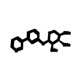 CC(=O)O[C@@H]1[C@@H](OC(C)=O)[C@@H](Oc2cccc(-c3cccnc3)c2)SC[C@H]1OC(C)=O